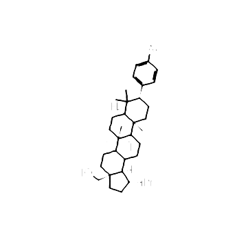 CC(=O)c1ccc([C@H]2CC[C@]3(C)[C@H]4CCC5[C@H]6[C@H](C(C)C)CC[C@]6(CO)CC[C@@]5(C)[C@]4(C)CC[C@H]3C2(C)C)cc1